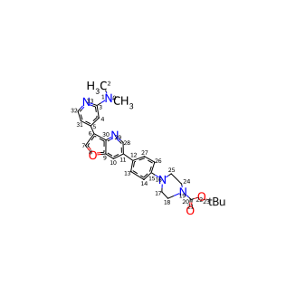 CN(C)c1cc(-c2coc3cc(-c4ccc(N5CCN(C(=O)OC(C)(C)C)CC5)cc4)cnc23)ccn1